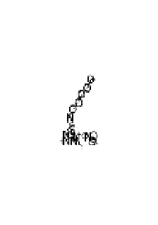 CCCCc1nc2c(NC(C)(C)C)nc3cc(C4CCN(CCOCCOCCOCCOCCOC)CC4)sc3c2n1CC1CCN(C(=O)OC(C)(C)C)CC1